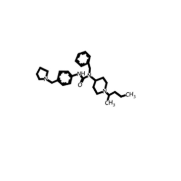 CCCC(C)N1CCC(N(Cc2ccccc2)C(=O)Nc2ccc(CN3CCCC3)cc2)CC1